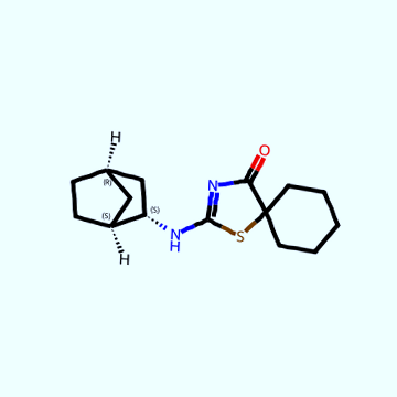 O=C1N=C(N[C@H]2C[C@@H]3CC[C@H]2C3)SC12CCCCC2